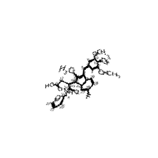 COC1=CC(=CC2=C(C)C(C(CC(=O)O)C(=O)NCc3ccco3)c3cc(F)ccc32)C=C(OC)C1=O